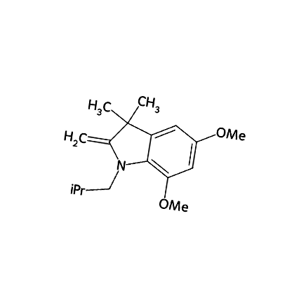 C=C1N(CC(C)C)c2c(OC)cc(OC)cc2C1(C)C